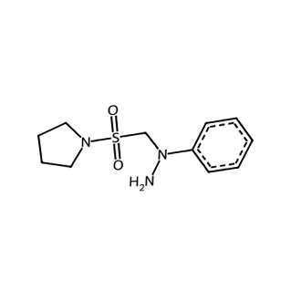 NN(CS(=O)(=O)N1CCCC1)c1ccccc1